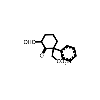 CCOC(=O)CC1(c2ccccc2)CCCC(C=O)C1=O